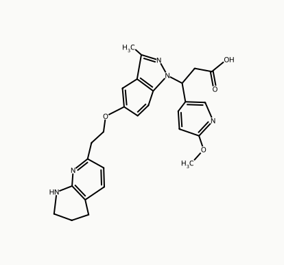 COc1ccc(C(CC(=O)O)n2nc(C)c3cc(OCCc4ccc5c(n4)NCCC5)ccc32)cn1